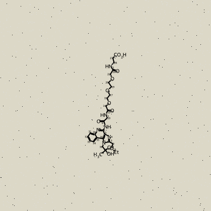 CCOCc1nc2c(NC(=O)CNC(=O)COCCOCCOCC(=O)NCCC(=O)O)nc3ccccc3c2n1CC(C)(C)O